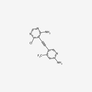 Nc1cc(C(F)(F)F)c(C#Cc2c(N)ncnc2Cl)cn1